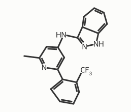 Cc1cc(Nc2n[nH]c3ccccc23)cc(-c2ccccc2C(F)(F)F)n1